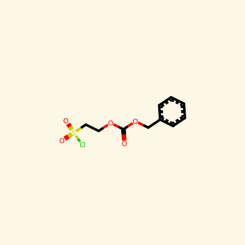 O=C(OCCS(=O)(=O)Cl)OCc1ccccc1